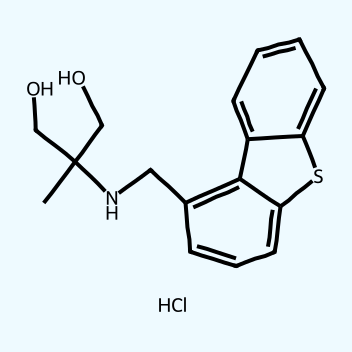 CC(CO)(CO)NCc1cccc2sc3ccccc3c12.Cl